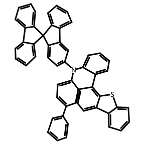 c1ccc(-c2ccc(N(c3ccc4c(c3)-c3ccccc3C43c4ccccc4-c4ccccc43)c3ccccc3-c3cccc4c3sc3ccccc34)cc2)cc1